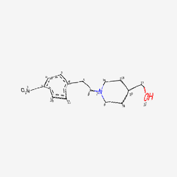 O=[N+]([O-])c1ccc(CCN2CCC(CO)CC2)cc1